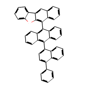 c1ccc(-c2ccc(-c3c4ccccc4c(-c4c5ccccc5cc5c4oc4ccccc45)c4ccccc34)c3ccccc23)cc1